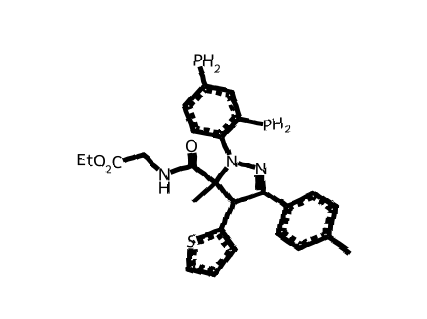 CCOC(=O)CNC(=O)C1(C)C(c2cccs2)C(c2ccc(C)cc2)=NN1c1ccc(P)cc1P